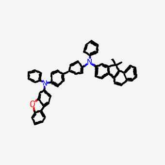 CC1(C)c2cc(N(c3ccccc3)c3ccc(-c4ccc(N(c5ccccc5)c5ccc6c(c5)oc5ccccc56)cc4)cc3)ccc2-c2ccc3ccccc3c21